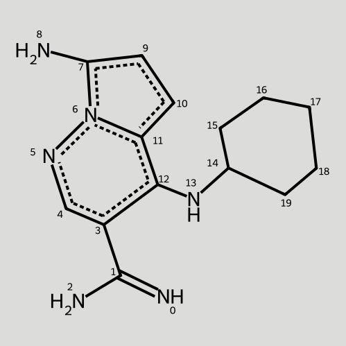 N=C(N)c1cnn2c(N)ccc2c1NC1CCCCC1